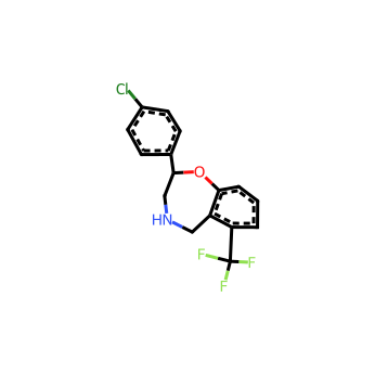 FC(F)(F)c1cccc2c1CNCC(c1ccc(Cl)cc1)O2